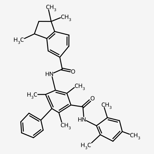 Cc1cc(C)c(NC(=O)c2c(C)c(NC(=O)c3ccc4c(c3)C(C)CC4(C)C)c(C)c(-c3ccccc3)c2C)c(C)c1